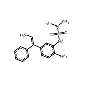 C/C=C(\c1ccccc1)c1ccc(N)c(NS(=O)(=O)N(C)CCC)c1